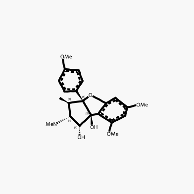 CN[C@H]1[C@@H](O)[C@@]2(O)c3c(OC)cc(OC)cc3O[C@@]2(c2ccc(OC)cc2)[C@@H]1C